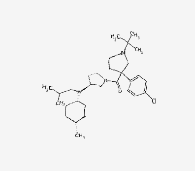 CC(C)CN([C@H]1CCN(C(=O)C2(c3ccc(Cl)cc3)CCN(C(C)(C)C)C2)C1)[C@H]1CC[C@@H](C)CC1